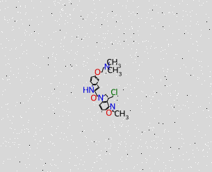 Cc1nc2c3c(c[c]c2o1)N(C(=O)c1cc2cc(OCCN(C)C)ccc2[nH]1)CC3CCl